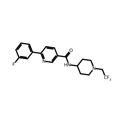 O=C(NC1CCN(CC(F)(F)F)CC1)c1ccc(-c2cccc(F)c2)nc1